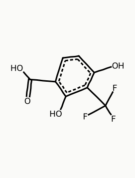 O=C(O)c1ccc(O)c(C(F)(F)F)c1O